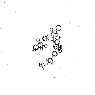 CC(C)NCc1ncc(-c2ccc(S(=O)(=O)Nc3cc(F)c(C(=O)N[C@@H](Cc4ccc(-n5c(=O)c6ccncc6n(C)c5=O)cn4)C(=O)OC4CCCCC4)cc3F)cc2)cn1